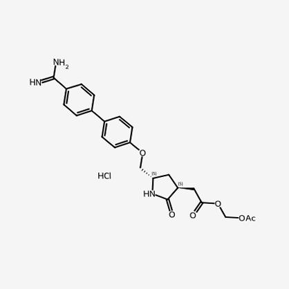 CC(=O)OCOC(=O)C[C@@H]1C[C@@H](COc2ccc(-c3ccc(C(=N)N)cc3)cc2)NC1=O.Cl